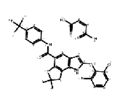 CC1(C)Cc2c(c(C(=O)Nc3ccc(C(F)(F)F)cc3)cc3nc(Nc4c(F)cccc4Cl)[nH]c23)O1.O=C(O)/C=C\C(=O)O